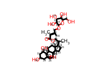 CC1=C(COC2OC(CO)C(O)C(O)C2O)C[C@H]([C@@H](C)[C@H]2CC[C@H]3[C@@H]4CC=C5C[C@@H](O)C[C@H](O)[C@]5(CO)[C@H]4CC[C@]23C)OC1=O